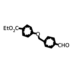 CCOC(=O)c1ccc(OCc2ccc(C=O)cc2)cc1